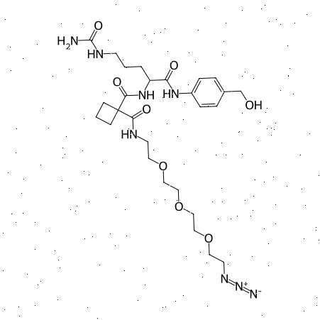 [N-]=[N+]=NCCOCCOCCOCCNC(=O)C1(C(=O)NC(CCCNC(N)=O)C(=O)Nc2ccc(CO)cc2)CCC1